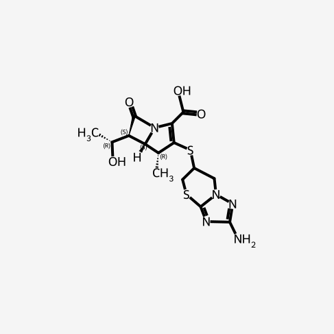 C[C@@H](O)[C@H]1C(=O)N2C(C(=O)O)=C(SC3CSc4nc(N)nn4C3)[C@H](C)[C@H]12